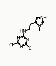 C[n+]1c[nH]cc1CCNc1nc(Cl)nc(Cl)n1